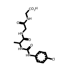 CC(NC(=O)Nc1ccc(Cl)cc1)C(=O)NCC(=O)NCC(=O)O